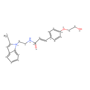 Cc1cc2ccccc2n1CCNC(=O)/C=C/c1ccc(OCCO)cc1